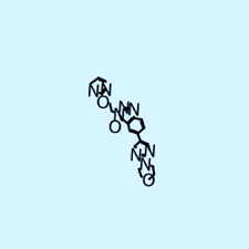 O=c1c2cc(-c3cnc(N4CCOCC4)nc3)ccc2nnn1CCOc1ncccn1